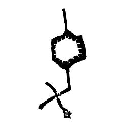 CC[N+](C)(C)Cc1ccc(C)cc1